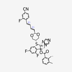 [CH2]c1c(C)cccc1C(=O)O[C@@](Cn1cncn1)(c1ccc(F)cc1F)[C@@H](C)S[C@H]1CO[C@H](/C=C/C=C/c2ccc(C#N)cc2F)OC1